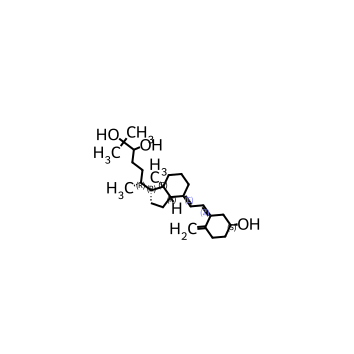 C=C1CC[C@H](O)C/C1=C/C=C1\CCC[C@]2(C)[C@@H]([C@H](C)CCC(O)C(C)(C)O)CC[C@@H]12